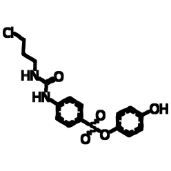 O=C(NCCCCl)Nc1ccc(S(=O)(=O)Oc2ccc(O)cc2)cc1